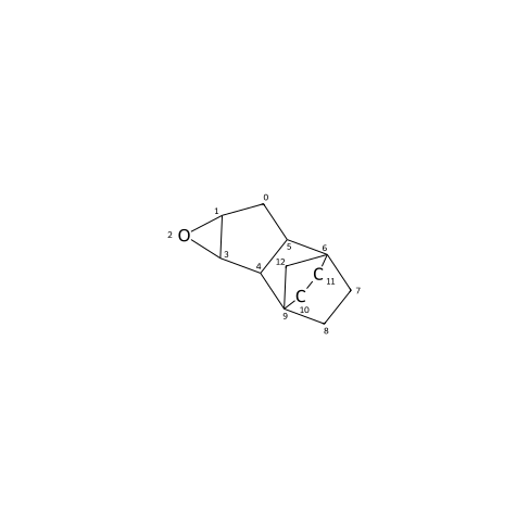 C1C2OC2C2C1C13CCC2(CC1)C3